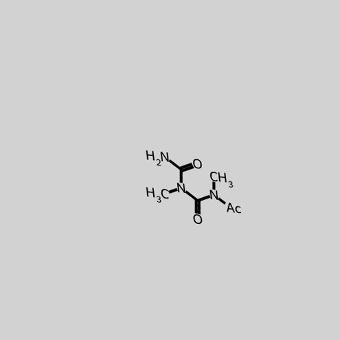 CC(=O)N(C)C(=O)N(C)C(N)=O